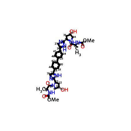 COC(=O)N[C@@H](C)C(=O)N1C[C@@H](O)CC1c1ncc(-c2ccc(-c3ccc(-c4cnc([C@@H]5C[C@H](O)CN5C(=O)[C@H](C)NC(=O)OC)[nH]4)cc3)cc2)[nH]1